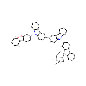 c1ccc2c(c1)-c1ccc(-n3c4ccccc4c4cc(-c5ccc6c(c5)c5ccccc5n6-c5ccc6c(c5)oc5ccccc56)ccc43)cc1C21C2CC3CC34CC1C4C2